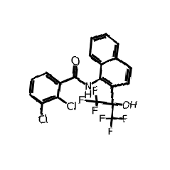 O=C(Nc1c(C(O)(C(F)(F)F)C(F)(F)F)ccc2ccccc12)c1cccc(Cl)c1Cl